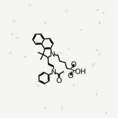 CC(=O)N(C=CC1N(CCCCS(=O)(=O)O)c2ccc3ccccc3c2C1(C)C)c1ccccc1